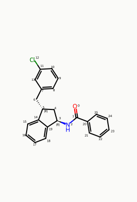 O=C(N[C@@H]1C[C@@H](Cc2cccc(Cl)c2)c2ccccc21)c1ccccc1